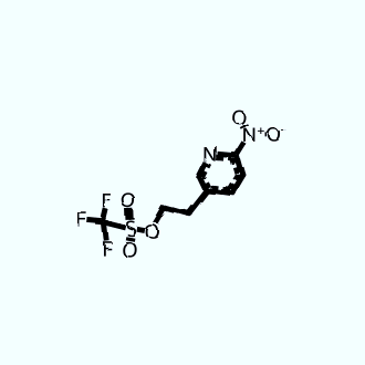 O=[N+]([O-])c1ccc(CCOS(=O)(=O)C(F)(F)F)cn1